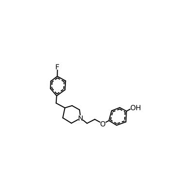 Oc1ccc(OCCN2CCC(Cc3ccc(F)cc3)CC2)cc1